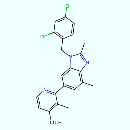 Cc1c(C(=O)O)ccnc1-c1cc(C)c2nc(C)n(Cc3ccc(Cl)cc3Cl)c2c1